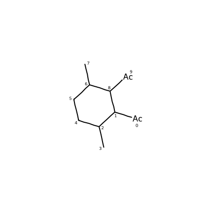 CC(=O)C1C(C)CCC(C)C1C(C)=O